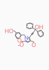 COC(=O)c1cc(C=O)c(C#CC(O)(c2ccccc2)c2ccccc2)n1Cc1cccc(CO)c1